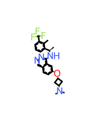 Cc1c([C@@H](C)Nc2nncc3ccc(O[C@H]4C[C@H](N(C)C)C4)cc23)cccc1C(F)(F)F